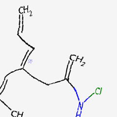 C=C/C=C(\C=C/C)CC(=C)NCl